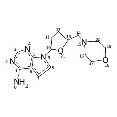 Nc1ncnc2c1ccn2C1CCC(CN2CCOCC2)O1